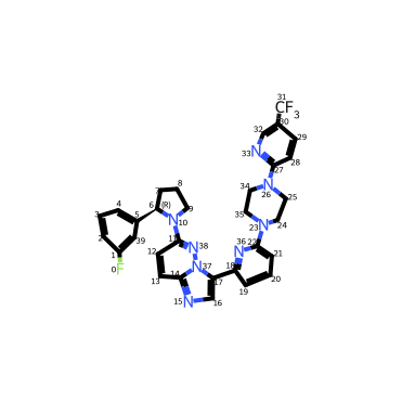 Fc1cccc([C@H]2CCCN2c2ccc3ncc(-c4cccc(N5CCN(c6ccc(C(F)(F)F)cn6)CC5)n4)n3n2)c1